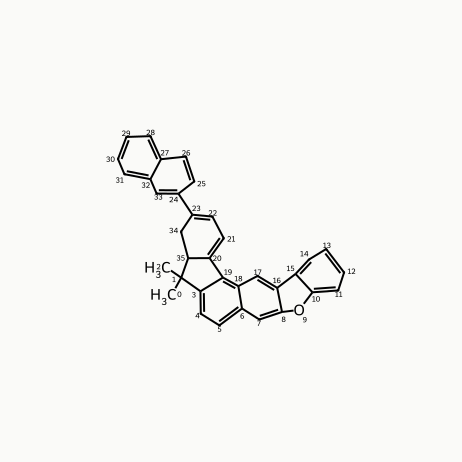 CC1(C)c2ccc3cc4oc5ccccc5c4cc3c2C2=CC=C(c3ccc4ccccc4c3)CC21